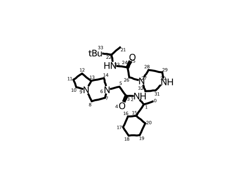 CC(NC(=O)CN1CCN2CCCC2C1)C1CCCCC1.CC(NC(=O)CN1CCNCC1)C(C)(C)C